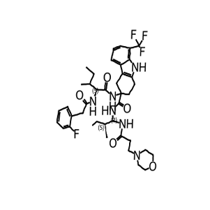 CCC(C)[C@H](NC(=O)Cc1ccccc1F)C(=O)NC1(C(=O)N[C@@H](NC(=O)CCN2CCOCC2)[C@@H](C)CC)CCc2[nH]c3c(C(F)(F)F)cccc3c2C1